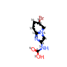 O=C(O)Nc1cn2cc(Br)ccc2n1